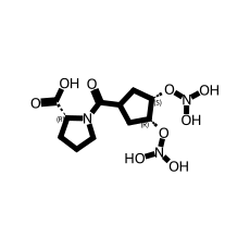 O=C(O)[C@H]1CCCN1C(=O)C1C[C@H](ON(O)O)[C@H](ON(O)O)C1